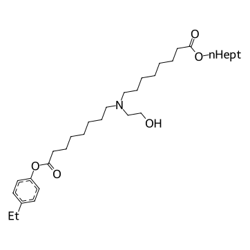 CCCCCCCOC(=O)CCCCCCCN(CCO)CCCCCCCC(=O)Oc1ccc(CC)cc1